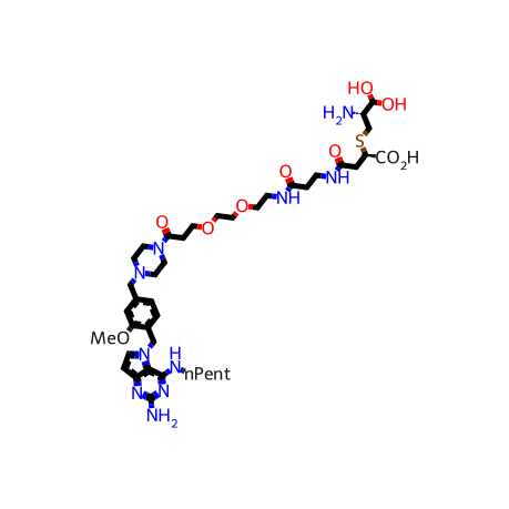 CCCCCNc1nc(N)nc2ccn(Cc3ccc(CN4CCN(C(=O)CCOCCOCCNC(=O)CCNC(=O)C[C@@H](SC[C@H](N)C(O)O)C(=O)O)CC4)cc3OC)c12